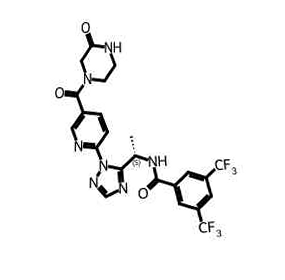 C[C@H](NC(=O)c1cc(C(F)(F)F)cc(C(F)(F)F)c1)c1ncnn1-c1ccc(C(=O)N2CCNC(=O)C2)cn1